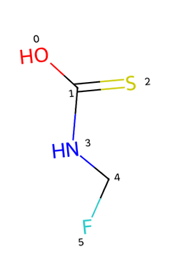 OC(=S)NCF